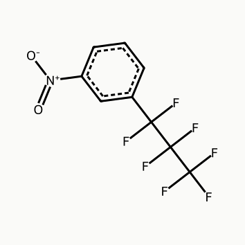 O=[N+]([O-])c1cccc(C(F)(F)C(F)(F)C(F)(F)F)c1